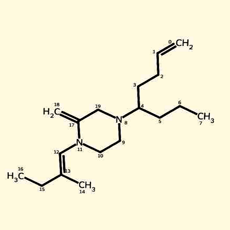 C=CCCC(CCC)N1CCN(/C=C(\C)CC)C(=C)C1